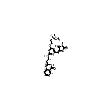 CN(C)CCOc1cc(/C=C2/SC(=O)NC2=O)nc(NCCc2nc3ccccc3c(=O)[nH]2)n1